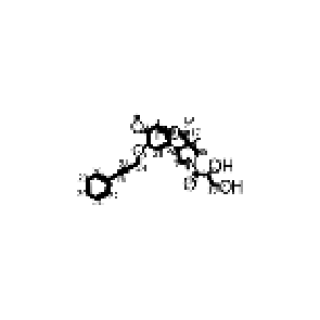 COc1ccc([C@@H]2CN(C(=O)[C@H](O)CO)C[C@@]2(C)[C@@H](C)O)cc1OCC#Cc1ccccc1